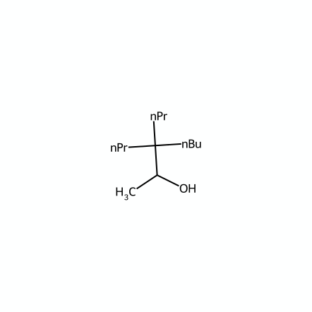 CCCCC(CCC)(CCC)C(C)O